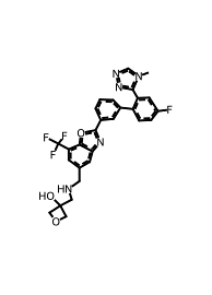 Cn1cnnc1-c1cc(F)ccc1-c1cccc(-c2nc3cc(CNCC4(O)COC4)cc(C(F)(F)F)c3o2)c1